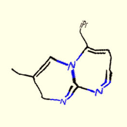 CC1=CN2C(C(C)C)=CC=NC2=NC1